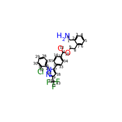 NCc1ccccc1CCOC(=O)c1ccc(-c2cc(C(F)(F)F)nn2-c2ccccc2Cl)cc1